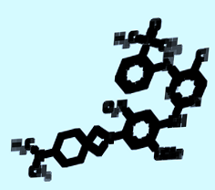 COc1cc(N2CC3(CCC(N(C)C)CC3)C2)c([N+](=O)[O-])cc1Nc1ncc(Cl)c(Nc2ccccc2P(C)(C)=O)n1